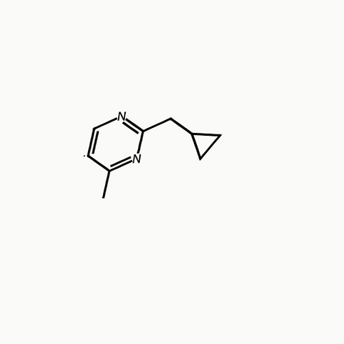 Cc1[c]cnc(CC2CC2)n1